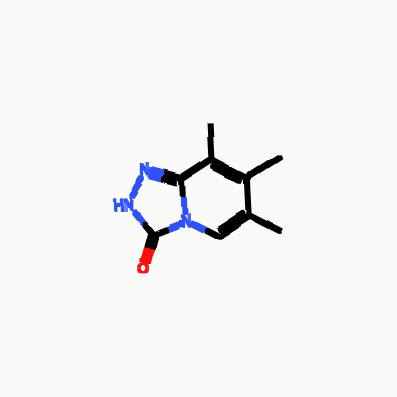 Cc1cn2c(=O)[nH]nc2c(C)c1C